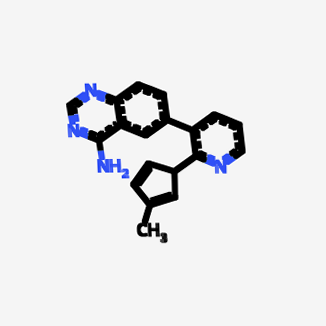 CC1=CC(c2ncccc2-c2ccc3ncnc(N)c3c2)C=C1